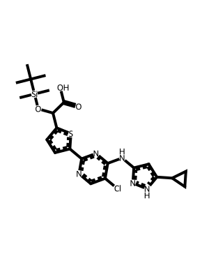 CC(C)(C)[Si](C)(C)OC(C(=O)O)c1ccc(-c2ncc(Cl)c(Nc3cc(C4CC4)[nH]n3)n2)s1